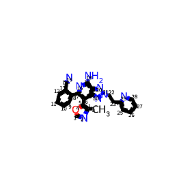 Cc1ncoc1-c1c(-c2ccccc2C#N)nc(N)c2nn(CCc3ccccn3)nc12